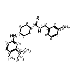 Cc1cnc(N[C@H]2CC[C@@H](C(=O)NCc3cccc(N)c3)CC2)nc1N(C)C